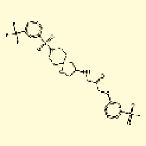 CS(=O)(=O)c1cccc(OCC(=O)CNC2COC3(CCN(S(=O)(=O)c4cccc(C(F)(F)F)c4)CC3)C2)c1